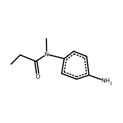 CCC(=O)N(C)c1ccc(N)cc1